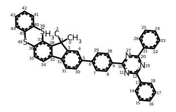 CC1(C)c2cc(-c3ccc(-c4nc(-c5ccccc5)nc(-c5ccccc5)n4)cc3)ccc2-c2ccc3c(c21)Sc1ccccc1S3